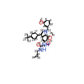 CCOC=O.COc1cccc(Cn2cc(-c3ccc(C(C)(C)C)cc3)c3cc(NC(=O)NCC4CC4)ccc32)c1